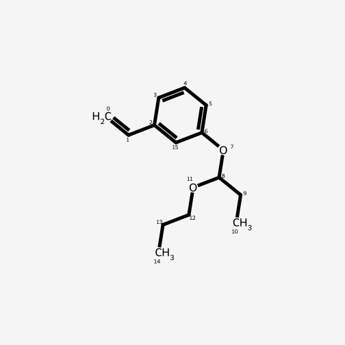 C=Cc1cccc(OC(CC)OCCC)c1